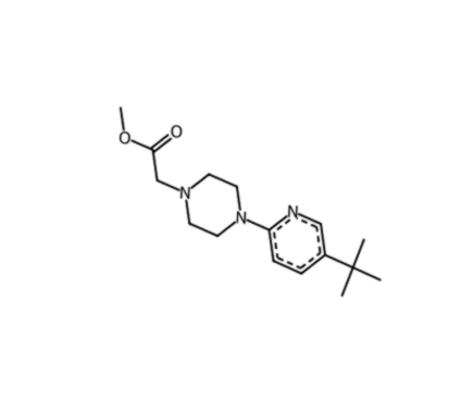 COC(=O)CN1CCN(c2ccc(C(C)(C)C)cn2)CC1